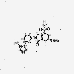 COc1cc2c(c(S(N)(=O)=O)c1)CN(c1cccc(-c3nncn3C(C)C)n1)C2=O